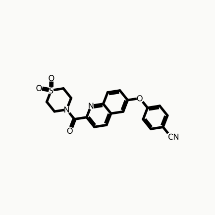 N#Cc1ccc(Oc2ccc3nc(C(=O)N4CCS(=O)(=O)CC4)ccc3c2)cc1